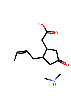 C/C=C\CC1CC(=O)CC1CC(=O)O.CNC